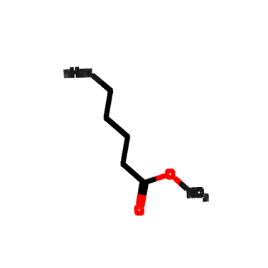 CCCCCCCCCCC(=O)O[N+](=O)[O-]